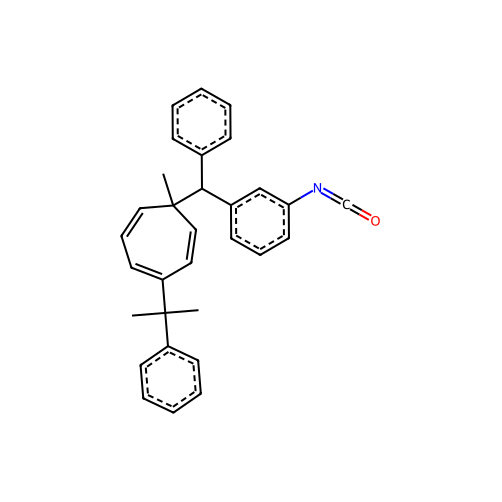 CC(C)(C1=CC=CC(C)(C(c2ccccc2)c2cccc(N=C=O)c2)C=C1)c1ccccc1